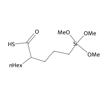 CCCCCCC(CCC[Si](OC)(OC)OC)C(=O)S